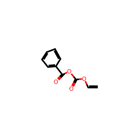 C=COC(=O)OC(=O)c1ccccc1